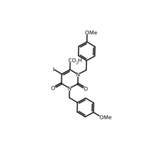 COc1ccc(Cn2c(C(=O)O)c(I)c(=O)n(Cc3ccc(OC)cc3)c2=O)cc1